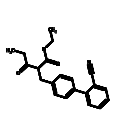 CCOC(=O)C(Cc1ccc(-c2ccccc2C#N)cc1)C(=O)CC